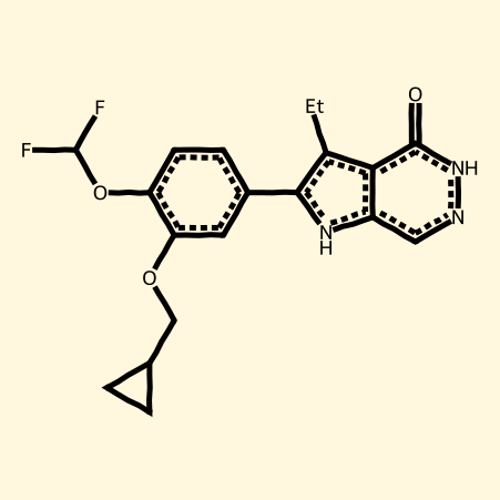 CCc1c(-c2ccc(OC(F)F)c(OCC3CC3)c2)[nH]c2cn[nH]c(=O)c12